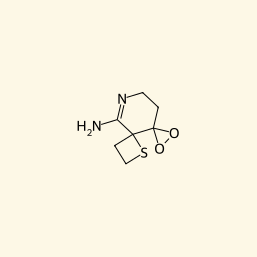 NC1=NCCC2(OO2)C12CCS2